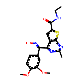 CCNC(=O)c1cc2c(C(=NO)c3ccc(OC)c(OC)c3)nc(C)nc2s1